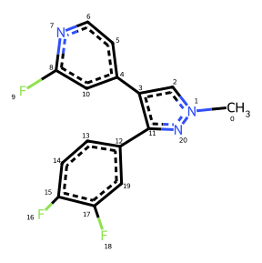 Cn1cc(-c2ccnc(F)c2)c(-c2ccc(F)c(F)c2)n1